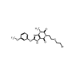 Cn1c(=O)n(CCOCCBr)c(=O)c2[nH]c(Oc3cccc(OC(F)(F)F)c3)nc21